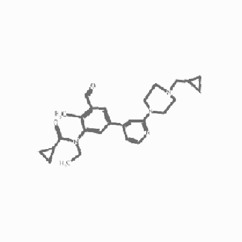 CCN(C(=O)C1CC1)c1cc(-c2ccnc(N3CCN(CC4CC4)CC3)c2)cc(C=O)c1C